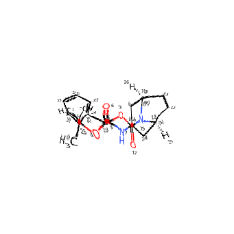 CC(C)(C)OC(=O)NC1C[C@H]2CC[C@@H](C1)N2C(=O)OCc1ccccc1